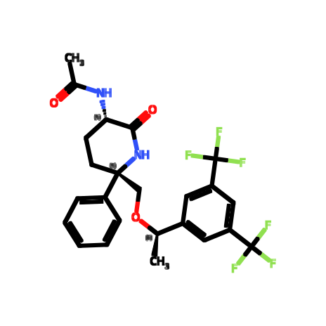 CC(=O)N[C@H]1CC[C@@](CO[C@H](C)c2cc(C(F)(F)F)cc(C(F)(F)F)c2)(c2ccccc2)NC1=O